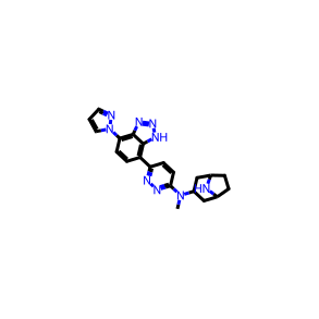 CN(c1ccc(-c2ccc(-n3cccn3)c3nn[nH]c23)nn1)C1CC2CCC(C1)N2